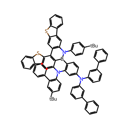 CC(C)(C)c1ccc(N2B3c4ccc(N(c5cccc(-c6ccccc6)c5)c5cccc(-c6ccccc6)c5)cc4N(c4ccc(C(C)(C)C)cc4-c4ccccc4)c4cc5c(sc6ccccc65)c(c43)-c3cc4sc5ccccc5c4cc32)cc1